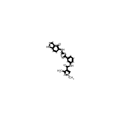 Cc1nn(C)cc1C(=O)Nc1cccc(-c2nsc(Nc3ccc4[nH]ncc4c3Cl)n2)c1